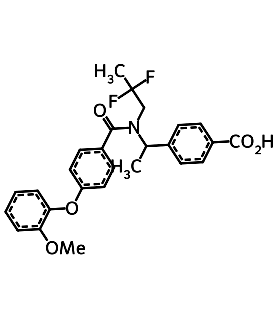 COc1ccccc1Oc1ccc(C(=O)N(CC(C)(F)F)C(C)c2ccc(C(=O)O)cc2)cc1